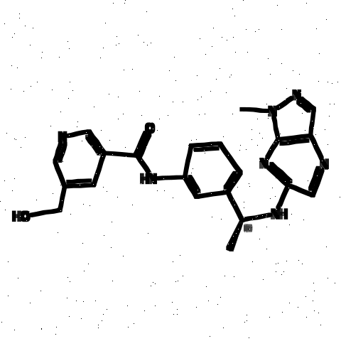 C[C@H](Nc1cnc2cnn(C)c2n1)c1cccc(NC(=O)c2cncc(CO)c2)c1